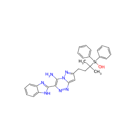 CC(C)(CCc1cc2nnc(-c3nc4ccccc4[nH]3)c(N)n2n1)[Si](O)(c1ccccc1)c1ccccc1